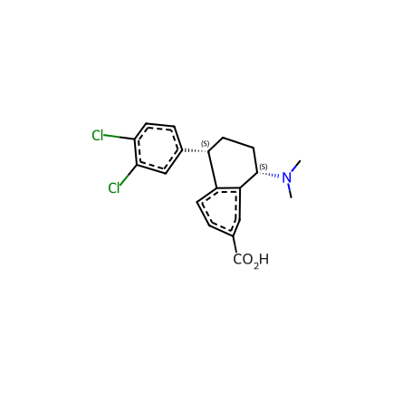 CN(C)[C@H]1CC[C@@H](c2ccc(Cl)c(Cl)c2)c2ccc(C(=O)O)cc21